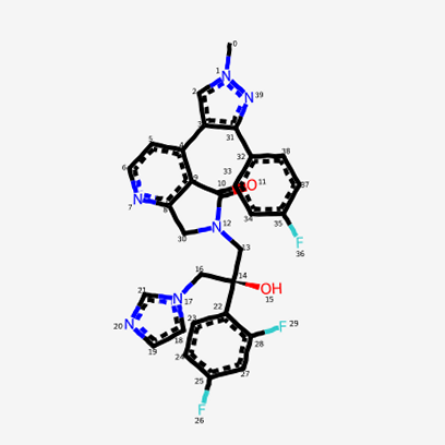 Cn1cc(-c2ccnc3c2C(=O)N(C[C@@](O)(Cn2ccnc2)c2ccc(F)cc2F)C3)c(-c2ccc(F)cc2)n1